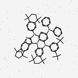 CC(C)(C)c1cc(N2c3cc4c(cc3B3c5c2cc(N(c2ccccc2)c2ccccc2)cc5N(c2ccc5c(c2)C(C)(C)CCC5(C)C)c2sc5cc6c(cc5c23)C2(C)CCC6(C)C2)C(C)(C)CCC4(C)C)cc(C(C)(C)C)c1